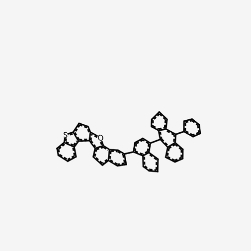 c1ccc(-c2c3ccccc3c(-c3ccc(-c4ccc5ccc6c(oc7ccc8sc9ccccc9c8c76)c5c4)c4ccccc34)c3ccccc23)cc1